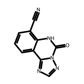 N#Cc1cccc2c1[nH]c(=O)n1ncnc21